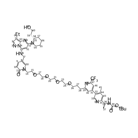 CCc1cnn2c(NCc3ccc(=O)n(CCOCCOCCOCCOCCCc4cc(-c5cnc([C@H](C)NC(=O)OC(C)(C)C)cc5C)cc(C(F)(F)F)n4)c3)cc(N3CCCC[C@H]3CCO)nc12